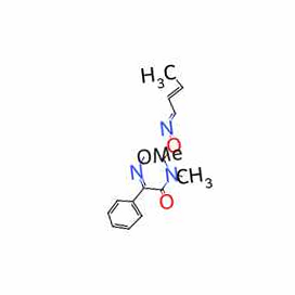 CC=CC=NOCN(C)C(=O)C(=NOC)c1ccccc1